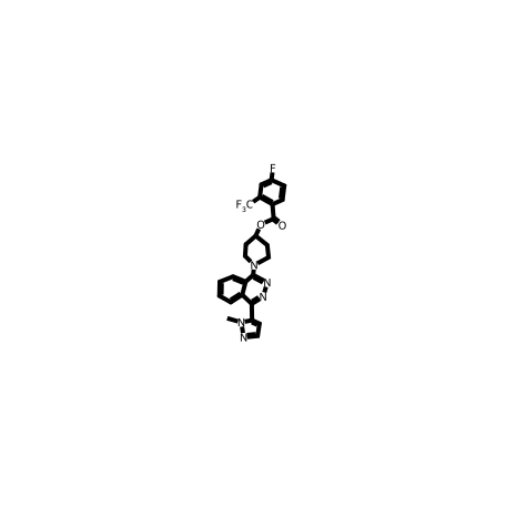 Cn1nccc1-c1nnc(N2CCC(OC(=O)c3ccc(F)cc3C(F)(F)F)CC2)c2ccccc12